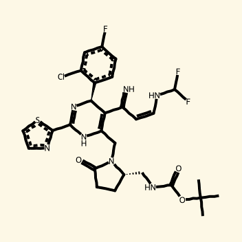 CC(C)(C)OC(=O)NC[C@@H]1CCC(=O)N1CC1=C(C(=N)/C=C\NC(F)F)[C@H](c2ccc(F)cc2Cl)N=C(c2nccs2)N1